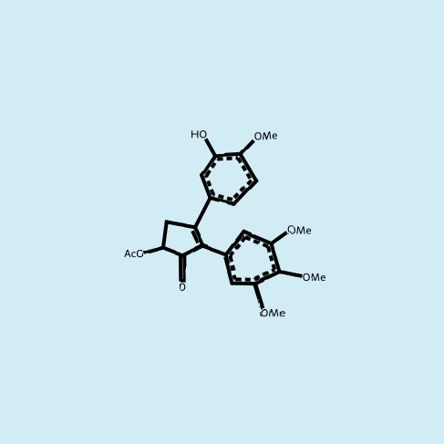 COc1ccc(C2=C(c3cc(OC)c(OC)c(OC)c3)C(=O)C(OC(C)=O)C2)cc1O